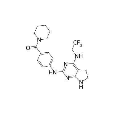 O=C(c1ccc(Nc2nc3c(c(NCC(F)(F)F)n2)CCN3)cc1)N1CCCCC1